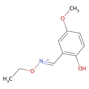 CCO/N=C/c1cc(OC)ccc1O